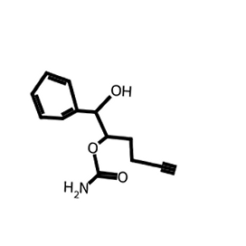 C#CCCC(OC(N)=O)C(O)c1ccccc1